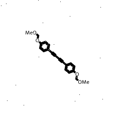 COCOc1ccc(C#CC#Cc2ccc(OCOC)cc2)cc1